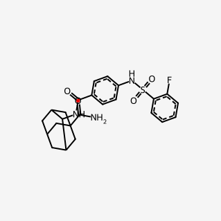 NC(=O)C12CC3CC(C1)C(NC(=O)c1ccc(NS(=O)(=O)c4ccccc4F)cc1)C(C3)C2